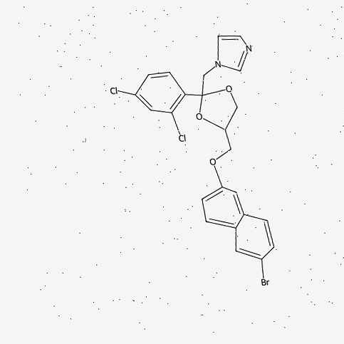 Clc1ccc(C2(Cn3ccnc3)OCC(COc3ccc4cc(Br)ccc4c3)O2)c(Cl)c1